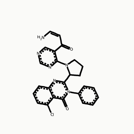 N/C=C\C(=O)c1cncnc1N1CCCC1c1nc2cccc(Cl)c2c(=O)n1-c1ccccc1